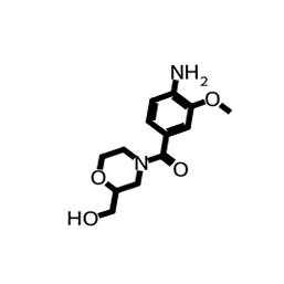 COc1cc(C(=O)N2CCOC(CO)C2)ccc1N